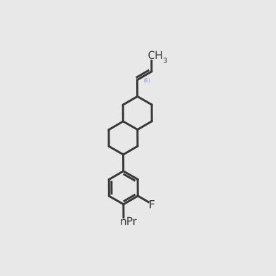 C/C=C/C1CCC2CC(c3ccc(CCC)c(F)c3)CCC2C1